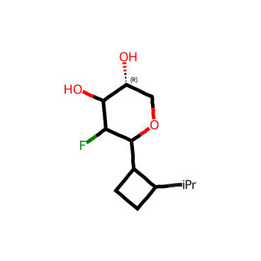 CC(C)C1CCC1C1OC[C@@H](O)C(O)C1F